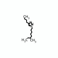 CCCCc1cn(CCCCCC(C)CC)nn1